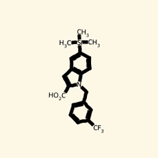 C[Si](C)(C)c1ccc2c(c1)cc(C(=O)O)n2Cc1cccc(C(F)(F)F)c1